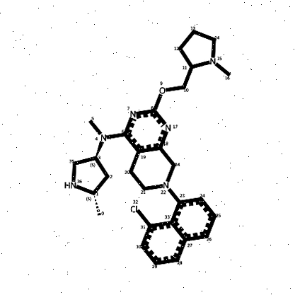 C[C@H]1C[C@H](N(C)c2nc(OCC3CCCN3C)nc3c2CCN(c2cccc4cccc(Cl)c24)C3)CN1